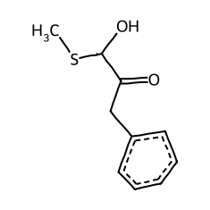 CS[C](O)C(=O)Cc1ccccc1